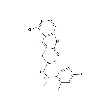 Cc1c(CC(=O)N[C@@H](C)c2ccc(F)cc2F)c(=O)[nH]c2ccnc(Cl)c12